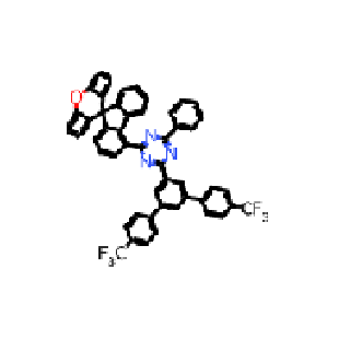 FC(F)(F)c1ccc(-c2cc(-c3ccc(C(F)(F)F)cc3)cc(-c3nc(-c4ccccc4)nc(-c4cccc5c4-c4ccccc4C54c5ccccc5Oc5ccccc54)n3)c2)cc1